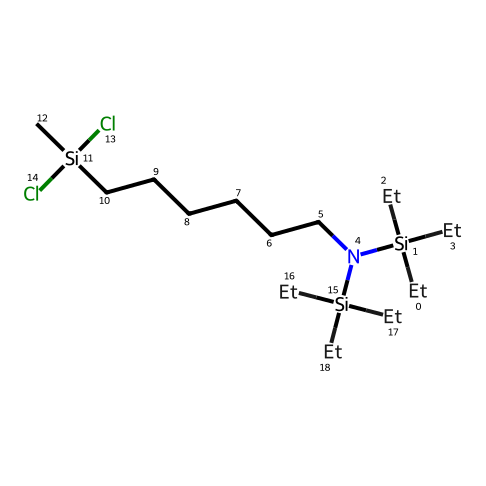 CC[Si](CC)(CC)N(CCCCCC[Si](C)(Cl)Cl)[Si](CC)(CC)CC